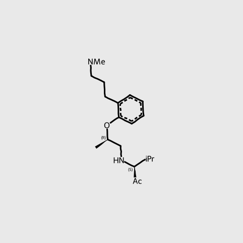 CNCCCc1ccccc1O[C@H](C)CN[C@H](C(C)=O)C(C)C